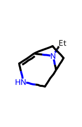 CCN1C2=CNCC1CC2